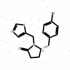 O=C1CC[C@@H](Cc2ccc(Br)cc2)N1Cc1cncs1